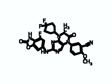 COc1ccc(N2C(=O)[C@@H](C)N(C3CCC(F)(F)CC3)c3nc(Nc4cc(F)c5[nH]c(=O)oc5c4)ncc32)cc1C#N